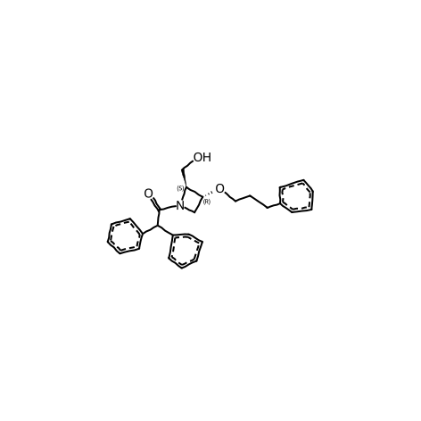 O=C(C(c1ccccc1)c1ccccc1)N1C[C@@H](OCCCc2ccccc2)[C@@H]1CO